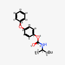 CCCCC(CC)NC(=O)Oc1ccc(Oc2ccccc2)cc1